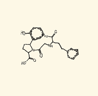 O=C(O)C(CCc1ccccc1)NCC(=O)N1C(C(=O)O)CCC1c1ccccc1O